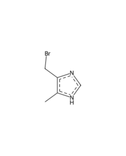 Cc1[nH]cnc1CBr